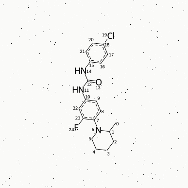 CC1CCCCN1c1ccc(NC(=O)Nc2ccc(Cl)cc2)cc1F